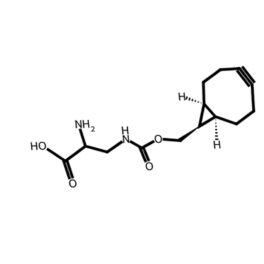 NC(CNC(=O)OC[C@@H]1[C@@H]2CCC#CCC[C@@H]21)C(=O)O